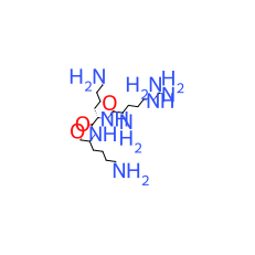 NCCCCC(C=O)NC(=O)[C@H](CCCCN)NC(=O)[C@@H](N)CCCNC(N)N